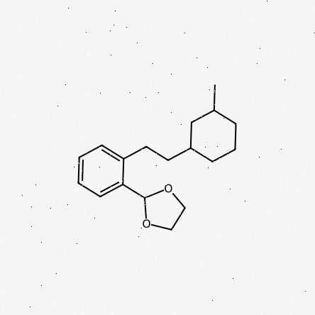 CC1CCCC(CCc2ccccc2C2OCCO2)C1